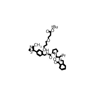 Cc1ncsc1-c1ccc(CNC(=O)[C@@H]2CCCN2C(=O)C(C(C)C)N2Cc3ccccc3C2=O)c(OCCCOCCC(=O)OC(C)(C)C)c1